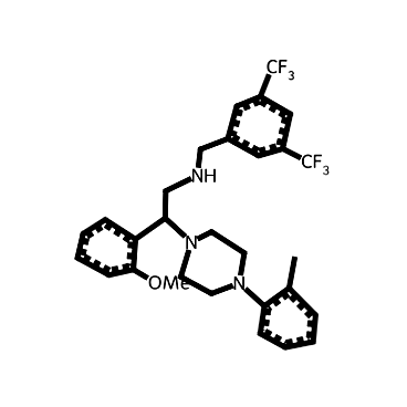 COc1ccccc1C(CNCc1cc(C(F)(F)F)cc(C(F)(F)F)c1)N1CCN(c2ccccc2C)CC1